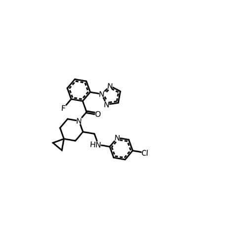 O=C(c1c(F)cccc1-n1nccn1)N1CCC2(CC2)CC1CNc1ccc(Cl)cn1